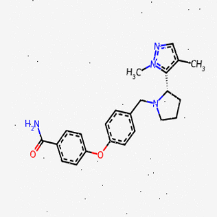 Cc1cnn(C)c1[C@@H]1CCCN1Cc1ccc(Oc2ccc(C(N)=O)cc2)cc1